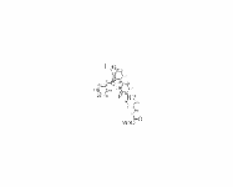 COC(=O)CCC1CCN(c2ccc(-c3ccc(C)nc3OCc3ccccc3)cc2F)CC1